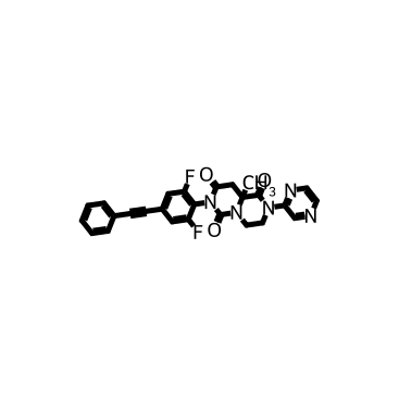 CC12CC(=O)N(c3c(F)cc(C#Cc4ccccc4)cc3F)C(=O)N1CCN(c1cnccn1)C2=O